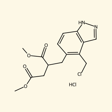 COC(=O)CC(Cc1ccc2[nH]ncc2c1CCl)C(=O)OC.Cl